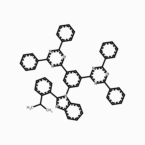 CC(C)c1ccccc1-c1nc2ccccc2n1-c1cc(-c2nc(-c3ccccc3)nc(-c3ccccc3)n2)cc(-c2nc(-c3ccccc3)nc(-c3ccccc3)n2)c1